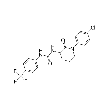 O=C(Nc1ccc(C(F)(F)F)cc1)NC1CCCN(c2ccc(Cl)cc2)C1=O